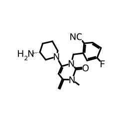 C=C1C=C(N2CCC[C@@H](N)C2)N(Cc2cc(F)ccc2C#N)C(=O)N1C